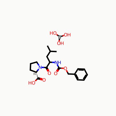 CC(C)CC(NC(=O)OCc1ccccc1)C(=O)N1CCC[C@H]1C(=O)O.OB(O)O